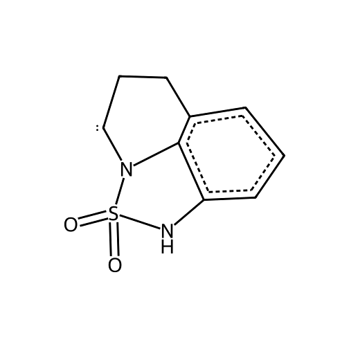 O=S1(=O)Nc2cccc3c2N1[C]CC3